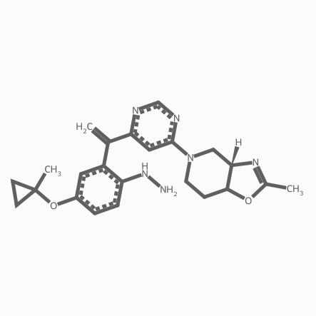 C=C(c1cc(N2CCC3OC(C)=N[C@H]3C2)ncn1)c1cc(OC2(C)CC2)ccc1NN